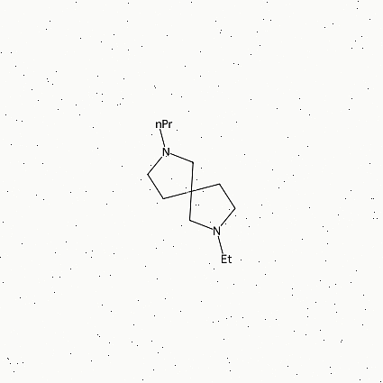 CCCN1CCC2(CCN(CC)C2)C1